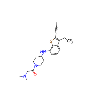 CC#Cc1sc2c(NC3CCN(C(=O)CN(C)C)CC3)cccc2c1CC(F)(F)F